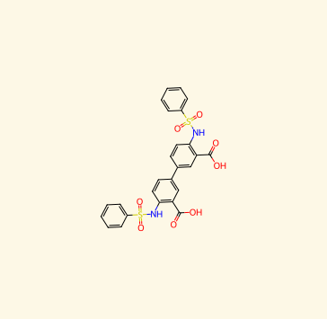 O=C(O)c1cc(-c2ccc(NS(=O)(=O)c3ccccc3)c(C(=O)O)c2)ccc1NS(=O)(=O)c1ccccc1